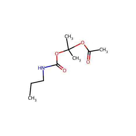 CCCNC(=O)OC(C)(C)OC(C)=O